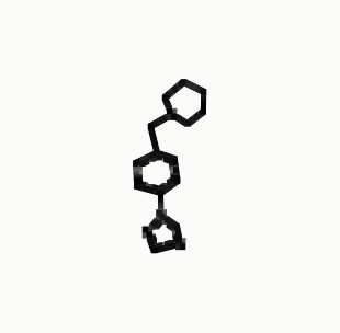 c1ncn(-c2ccc(CN3CCCCC3)cc2)n1